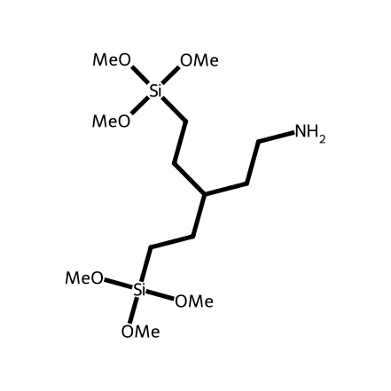 CO[Si](CCC(CCN)CC[Si](OC)(OC)OC)(OC)OC